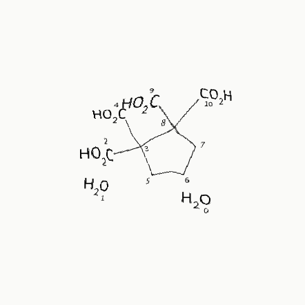 O.O.O=C(O)C1(C(=O)O)CCCC1(C(=O)O)C(=O)O